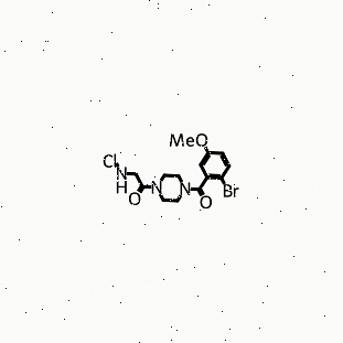 COc1ccc(Br)c(C(=O)N2CCN(C(=O)CNCl)CC2)c1